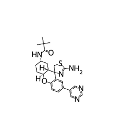 CC(C)(C)C(=O)N[C@H]1CC[C@@H]2Oc3ccc(-c4cncnc4)cc3C3(CSC(N)=N3)[C@H]2C1